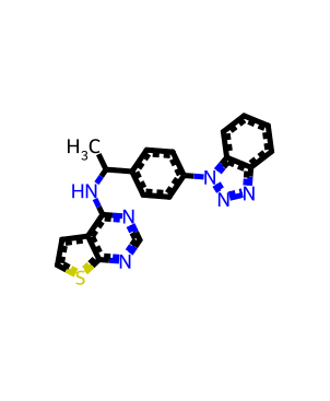 CC(Nc1ncnc2sccc12)c1ccc(-n2nnc3ccccc32)cc1